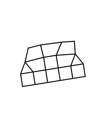 C1C2C3C4C5CC6C78CC9C%10CC%11%12C1C2%11C31C%10%12C97C41C568